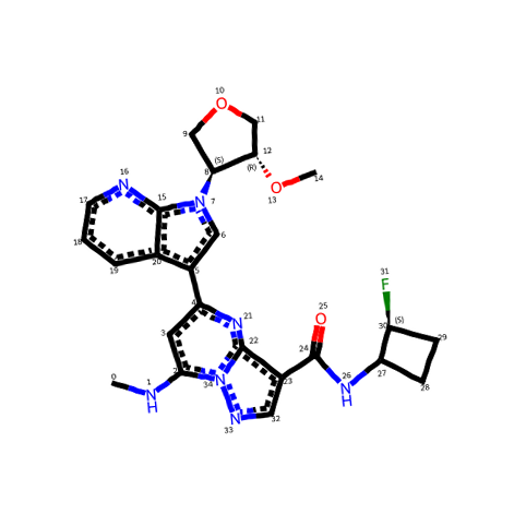 CNc1cc(-c2cn([C@H]3COC[C@@H]3OC)c3ncccc23)nc2c(C(=O)NC3CC[C@@H]3F)cnn12